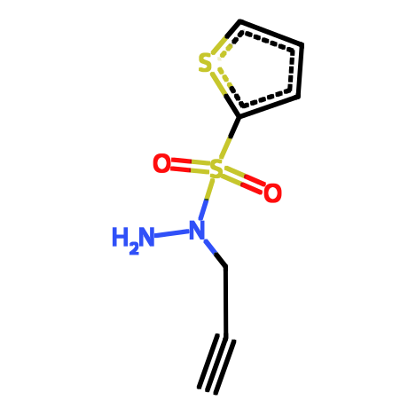 C#CCN(N)S(=O)(=O)c1cccs1